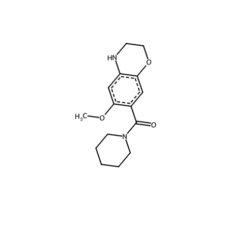 COc1cc2c(cc1C(=O)N1CCCCC1)OCCN2